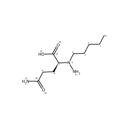 CCCCCN(N)[C@@H](CCC(N)=O)C(=O)O